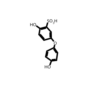 O=S(=O)(O)c1cc(Oc2ccc(O)cc2)ccc1O